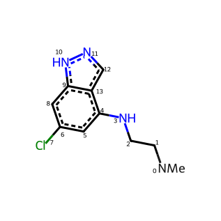 CNCCNc1cc(Cl)cc2[nH]ncc12